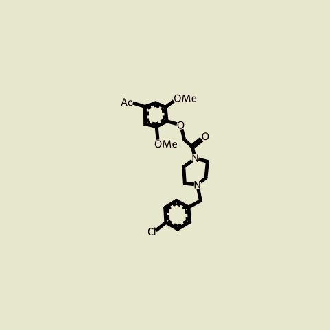 COc1cc(C(C)=O)cc(OC)c1OCC(=O)N1CCN(Cc2ccc(Cl)cc2)CC1